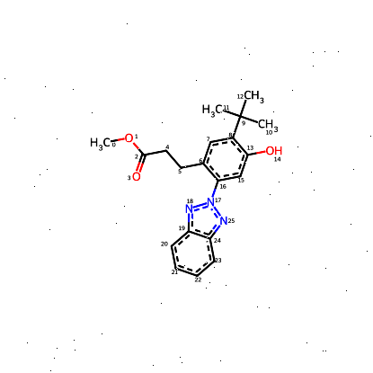 COC(=O)CCc1cc(C(C)(C)C)c(O)cc1-n1nc2ccccc2n1